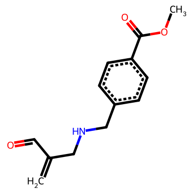 C=C(C=O)CNCc1ccc(C(=O)OC)cc1